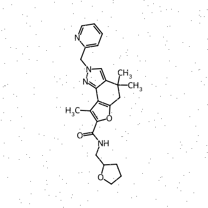 Cc1c(C(=O)NCC2CCCO2)oc2c1-c1nn(Cc3ccccn3)cc1C(C)(C)C2